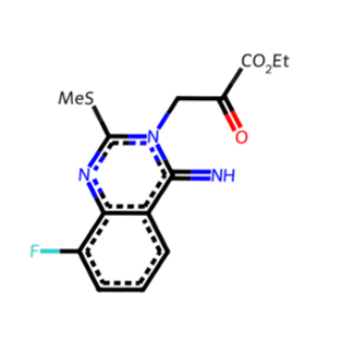 CCOC(=O)C(=O)Cn1c(SC)nc2c(F)cccc2c1=N